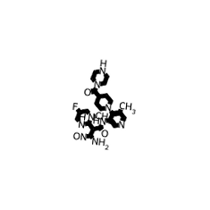 Cc1cncc(NC(=O)C(C(N)N=O)C2NCC(F)CN2C)c1N1CCC(C(=O)N2CCNCC2)CC1